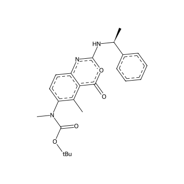 Cc1c(N(C)C(=O)OC(C)(C)C)ccc2nc(N[C@@H](C)c3ccccc3)oc(=O)c12